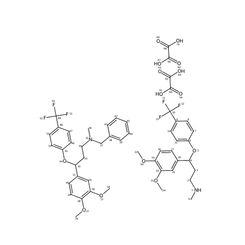 CNCCC(Oc1ccc(C(F)(F)F)cc1)c1ccc(OC)c(OC)c1.COc1ccc(C(CCN(C)Cc2ccccc2)Oc2ccc(C(F)(F)F)cc2)cc1OC.O=C(O)C(=O)O.O=C(O)C(=O)O